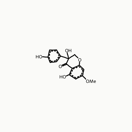 COc1cc(O)c2c(c1)OCC(O)(c1ccc(O)cc1)C2=O